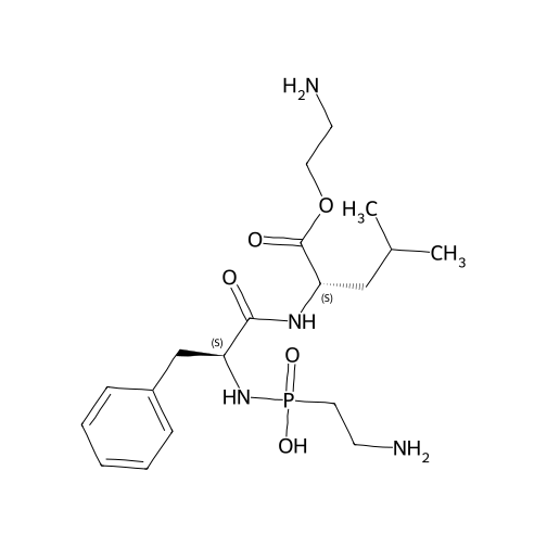 CC(C)C[C@H](NC(=O)[C@H](Cc1ccccc1)NP(=O)(O)CCN)C(=O)OCCN